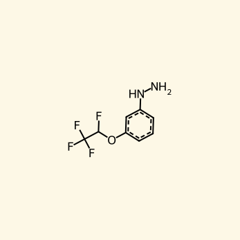 NNc1cccc(OC(F)C(F)(F)F)c1